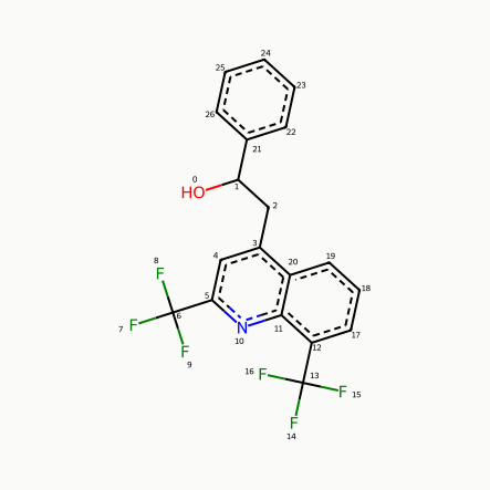 OC(Cc1cc(C(F)(F)F)nc2c(C(F)(F)F)cccc12)c1ccccc1